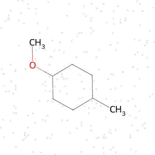 COC1CCC(C)CC1